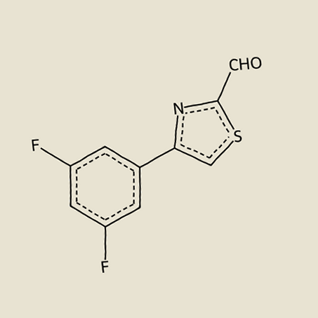 O=Cc1nc(-c2cc(F)cc(F)c2)cs1